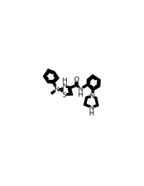 CN(c1ccccc1)C1NC(C(=O)Nc2ccccc2N2CCNCC2)=CS1